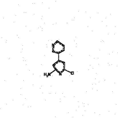 Nc1cc(-c2cccnc2)cc(Cl)n1